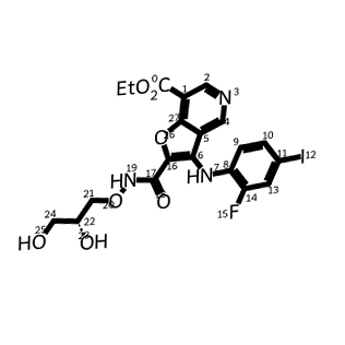 CCOC(=O)c1cncc2c(Nc3ccc(I)cc3F)c(C(=O)NOC[C@H](O)CO)oc12